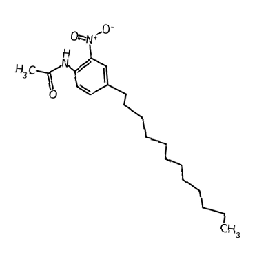 CCCCCCCCCCCCc1ccc(NC(C)=O)c([N+](=O)[O-])c1